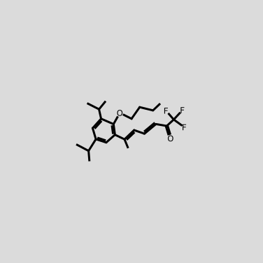 CCCCOc1c(C(C)=CC=CC(=O)C(F)(F)F)cc(C(C)C)cc1C(C)C